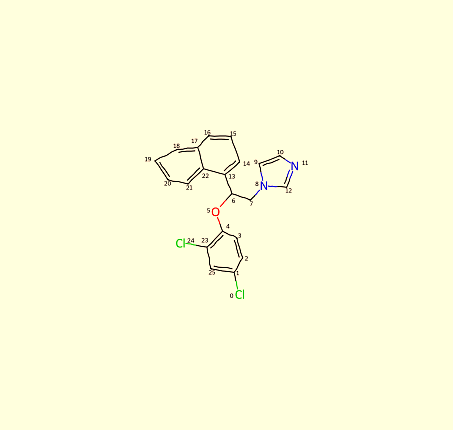 Clc1ccc(OC(Cn2ccnc2)c2cccc3ccccc23)c(Cl)c1